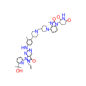 C=CCn1c(=O)c2cnc(Nc3ccc(C4CCN(CC5CCN(c6cccc7c6n(C)c(=O)n7C6CCC(=O)NC6=O)CC5)CC4)c(C)c3)nc2n1-c1cccc(C(C)(C)O)n1